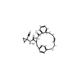 N#CC1(NC(=O)[C@@H]2Cc3ccc(cc3)OC/C=C/CCc3ccccc3C(=O)N2)CC1